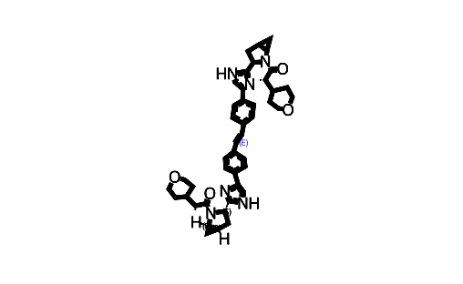 O=C([CH]C1CCOCC1)N1C(c2nc(-c3ccc(/C=C/c4ccc(-c5c[nH]c([C@@H]6C[C@H]7C[C@H]7N6C(=O)[CH]C6CCOCC6)n5)cc4)cc3)c[nH]2)CC2CC21